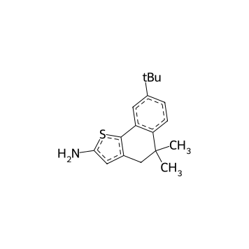 CC(C)(C)c1ccc2c(c1)-c1sc(N)cc1CC2(C)C